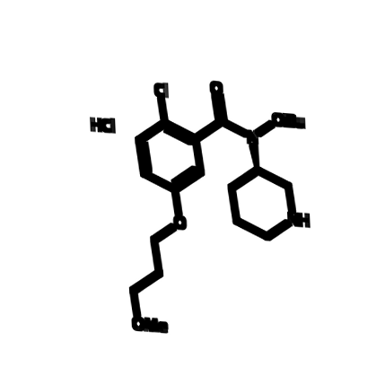 COCCCOc1ccc(Cl)c(C(=O)N(OCC(C)C)[C@@H]2CCCNC2)c1.Cl